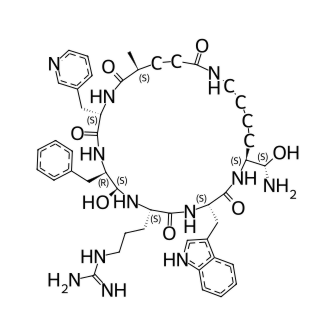 C[C@H]1CCC(=O)NCCCC[C@@H]([C@@H](N)O)NC(=O)[C@H](Cc2c[nH]c3ccccc23)NC(=O)[C@H](CCCNC(=N)N)N[C@@H](O)[C@@H](Cc2ccccc2)NC(=O)[C@H](Cc2cccnc2)NC1=O